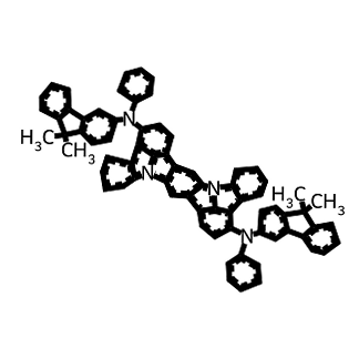 CC1(C)c2ccccc2-c2cc(N(c3ccccc3)c3ccc4c5cc6c(cc5n5c7ccccc7c3c45)c3ccc(N(c4ccccc4)c4ccc5c(c4)-c4ccccc4C5(C)C)c4c5ccccc5n6c34)ccc21